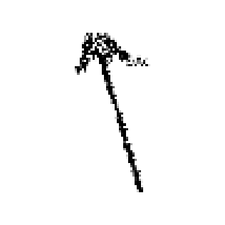 C=C=C=C=C=C=C=C=C=C=C=C=C=C=C=C=C=C=C=C=C=C=C=C=C=C=C=C=C=C=C=C=C=C=C=C(OC(=O)CCC(C)(c1ccc(OC(=C)C)cc1)c1ccc(OC(C)=O)cc1)OC(=O)CCC(C)(c1ccc(OC(C)=O)cc1)c1ccc(OC(C)=O)cc1